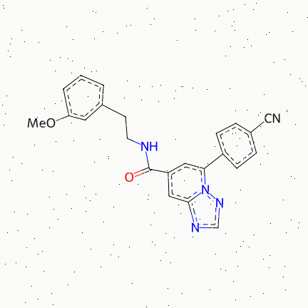 COc1cccc(CCNC(=O)c2cc(-c3ccc(C#N)cc3)n3ncnc3c2)c1